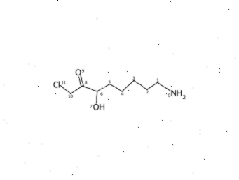 NCCCCCC(O)C(=O)CCl